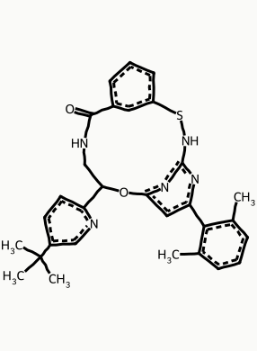 Cc1cccc(C)c1-c1cc2nc(n1)NSc1cccc(c1)C(=O)NCC(c1ccc(C(C)(C)C)cn1)O2